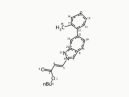 CCCCOC(=O)C=Cn1cc2ccc(-c3ccccc3C)cc2n1